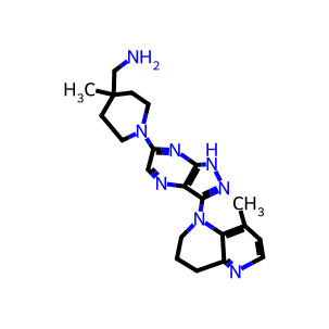 Cc1ccnc2c1N(c1n[nH]c3nc(N4CCC(C)(CN)CC4)cnc13)CCC2